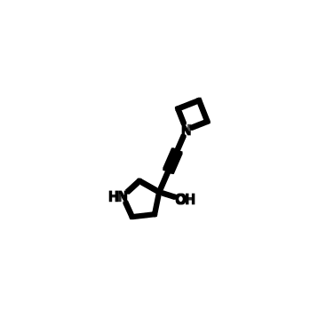 OC1(C#CN2CCC2)CCNC1